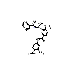 CCNc1ccc(NC(=O)c2ccc(C)c(N(N)/C=C(\N)c3cccnc3)c2)cc1C(F)(F)F